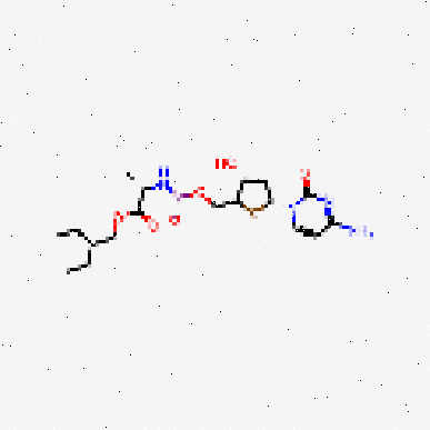 CCC(CC)COC(=O)[C@H](C)N[PH](=O)OCC1S[C@@H](n2ccc(N)nc2=O)C[C@H]1O